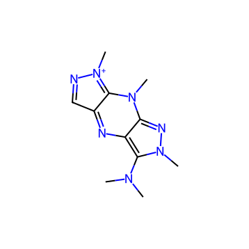 CN(C)c1c2nc3cn[n+](C)c-3n(C)c2nn1C